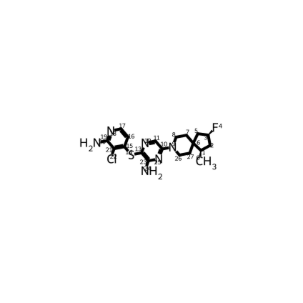 C[C@@H]1C[C@H](F)CC12CCN(c1cnc(Sc3ccnc(N)c3Cl)c(N)n1)CC2